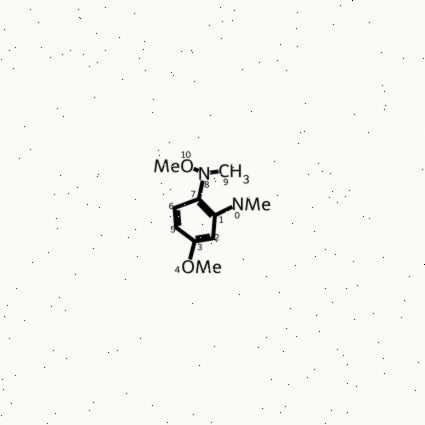 CNc1cc(OC)ccc1N(C)OC